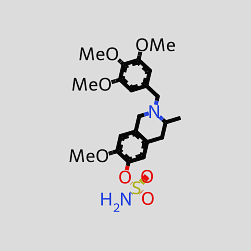 COc1cc2c(cc1OS(N)(=O)=O)CC(C)N(Cc1cc(OC)c(OC)c(OC)c1)C2